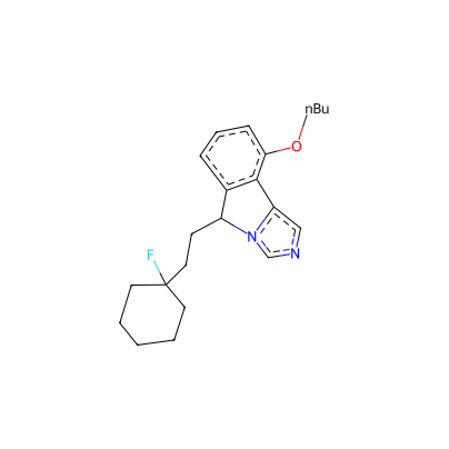 CCCCOc1cccc2c1-c1cncn1C2CCC1(F)CCCCC1